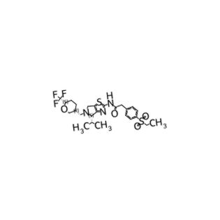 CCS(=O)(=O)c1ccc(CC(=O)Nc2nc3c(s2)CN(C[C@H]2CC[C@@H](C(F)(F)F)OC2)[C@H]3C(C)C)cc1